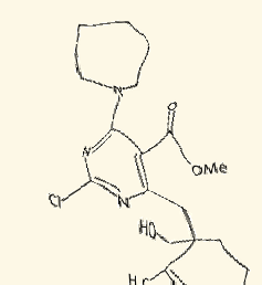 COC(=O)c1c(CC2(O)CCCC=C2C)nc(Cl)nc1N1CCCCCC1